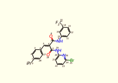 CC(C)c1ccc(C=C(C(=O)Nc2cccc(C(F)(F)F)c2)C(=O)Nc2cccc(Br)n2)cc1